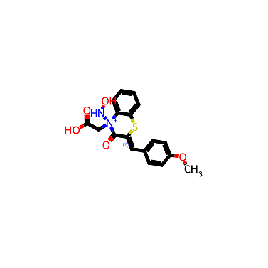 COc1ccc(/C=C2\Sc3ccccc3[N+](CC(=O)O)(NO)C2=O)cc1